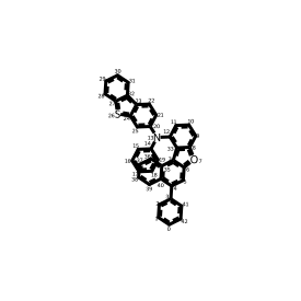 c1ccc(-c2cc3oc4cccc(N(c5ccccc5)c5ccc6c(c5)sc5ccccc56)c4c3c3ccccc23)cc1